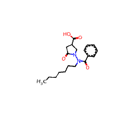 CCCCCCCN(C(=O)c1ccccc1)N1CC(C(=O)O)CC1=O